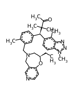 CC[C@@H]1CN(Cc2cc([C@H](c3ccc4c(nnn4C)c3C)C(C)(C)C(C)=O)ccc2C)Cc2cnccc2O1